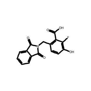 O=C(O)c1c(CN2C(=O)c3ccccc3C2=O)ccc(O)c1F